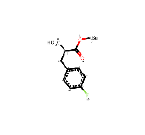 CC(C)(C)OC(=O)[C@@H](Cc1ccc(F)cc1)C(=O)O